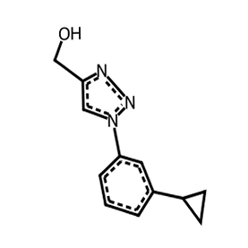 OCc1cn(-c2cccc(C3CC3)c2)nn1